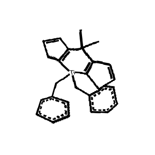 CC1(C)C2=[C](CC=C2)[Ti]([CH2]c2ccccc2)([CH2]c2ccccc2)[C]2=C1C=CC2